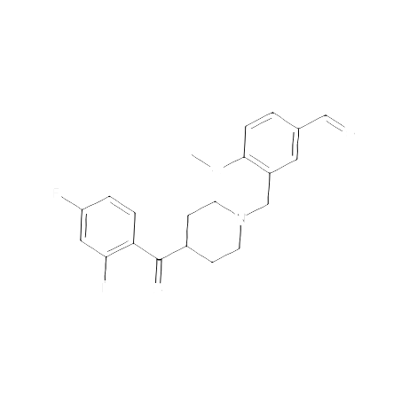 COc1ccc(C=O)cc1CN1CCC(C(=O)c2ccc(F)cc2F)CC1